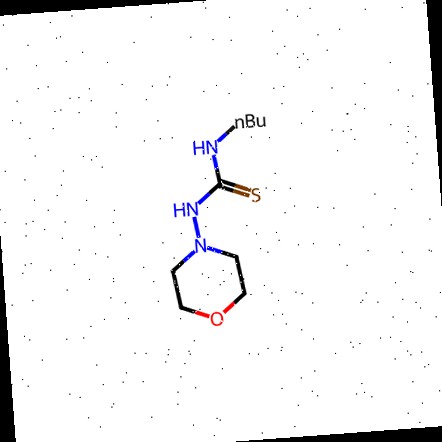 CCCCNC(=S)NN1CCOCC1